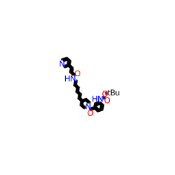 CC(C)(C)OC(=O)Nc1cccc(C(=O)N2CCC(CCCCCCNC(=O)/C=C/c3cccnc3)CC2)c1